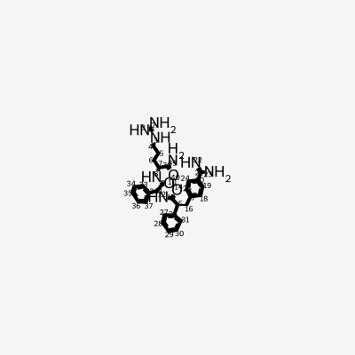 N=C(N)NCCCC(NC(=O)[C@@H](NC(=O)[C@@H](Cc1ccc(C(=N)N)cc1)c1ccccc1)c1ccccc1)C(N)=O